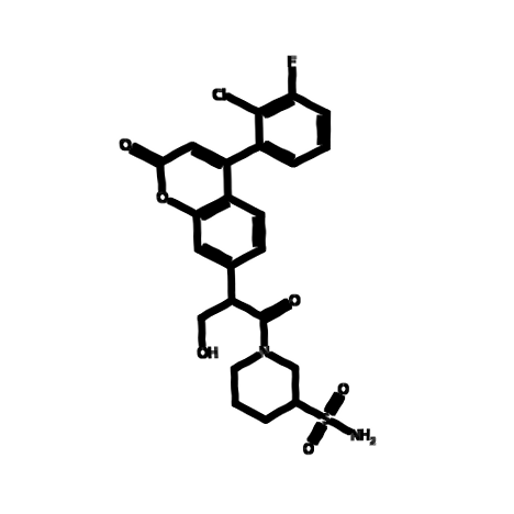 NS(=O)(=O)C1CCCN(C(=O)C(CO)c2ccc3c(-c4cccc(F)c4Cl)cc(=O)oc3c2)C1